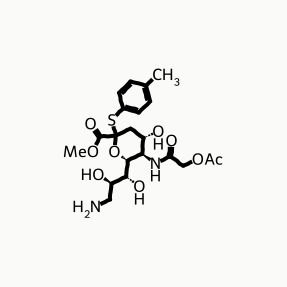 COC(=O)C1(Sc2ccc(C)cc2)C[C@H](O)[C@@H](NC(=O)COC(C)=O)[C@H]([C@H](O)[C@H](O)CN)O1